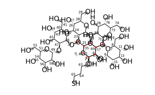 C[C@H]1C(O)[C@H](O[C@@H]2OC(CO)[C@H](O)C(O)[C@@H]2O)C(CO)O[C@H]1O[C@H]1C(O)[C@H](O)C(CO)O[C@H]1O[C@@H]1C(CO[C@@H]2OC(CO)[C@@H](O)C(O)[C@@H]2O[C@H]2OC(CO)[C@@H](O)C(O)[C@@H]2O)O[C@H](OCCCS)[C@@H](O)C1O[C@@H]1OC(CO)[C@@H](O)C(O)[C@@H]1O